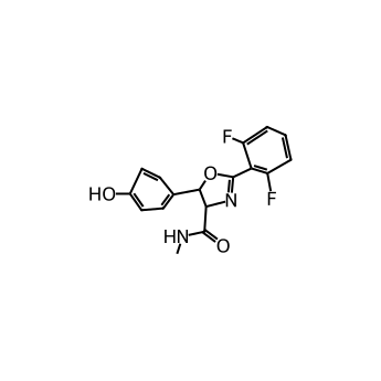 CNC(=O)C1N=C(c2c(F)cccc2F)OC1c1ccc(O)cc1